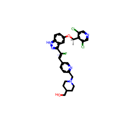 C[C@H](Oc1ccc2[nH]nc(/C(F)=C/c3ccc(CN4CCC(CO)CC4)nc3)c2c1)c1c(Cl)cncc1Cl